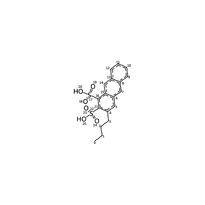 CCCCc1cc2cc3ccccc3cc2c(S(=O)(=O)O)c1S(=O)(=O)O